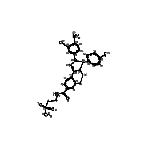 CS(=O)(=O)CCNC(=O)c1ccc2c(c1)CCC1C2=NN(c2ccc(N)c(Cl)c2)C1c1ccc(F)cc1